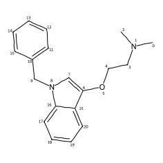 CN(C)CCOc1cn(Cc2ccccc2)c2ccccc12